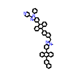 Cn1c(Cc2ccc3cc(-c4c5ccccc5c(-c5ccc6c(c5)nc(-c5ccncc5)n6-c5ccccc5)c5ccccc45)ccc3c2)nc2ccc(-c3c4ccccc4c(-c4ccc5ccccc5c4)c4ccccc34)cc21